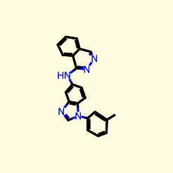 Cc1cccc(-n2cnc3cc(Nc4nncc5ccccc45)ccc32)c1